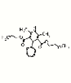 C=CCOC(=O)C1=C(C)NC(C)=C(C(=O)OCCOC)C1c1ccccc1